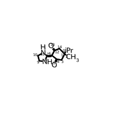 CC(C)C1(C)CC(=O)C(=C2NCCN2)C(=O)C1